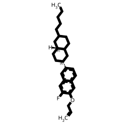 C=CCOc1cc2ccc([C@@H]3CC[C@@H]4CC(CCCCC)CCC4C3)cc2cc1F